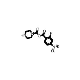 O=C(OC(=O)N1CCNCC1)c1ccc([N+](=O)[O-])cc1F